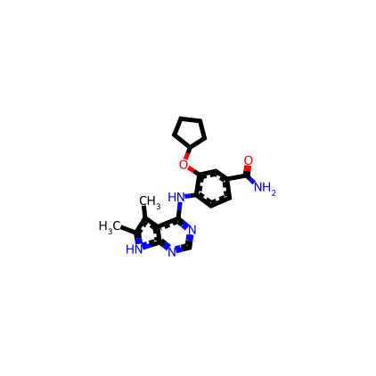 Cc1[nH]c2ncnc(Nc3ccc(C(N)=O)cc3OC3CCCC3)c2c1C